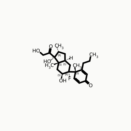 CCCC1=CC(=O)C=C[C@]1(C)[C@]1(F)C[C@@H]2C[C@@H](C)[C@](O)(C(=O)CO)[C@@]2(C)C[C@@H]1O